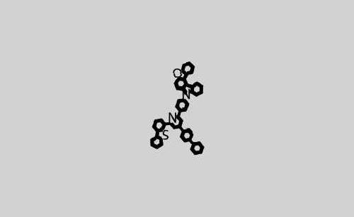 c1ccc(-c2ccc(-c3cc(-c4ccc(-n5c6ccccc6c6c7c(ccc65)oc5ccccc57)cc4)nc(-c4cccc5c4sc4ccccc45)c3)cc2)cc1